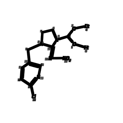 CCOC(OCC)N1CCN(Cc2ccc(Cl)nc2)C1=N[N+](=O)[O-]